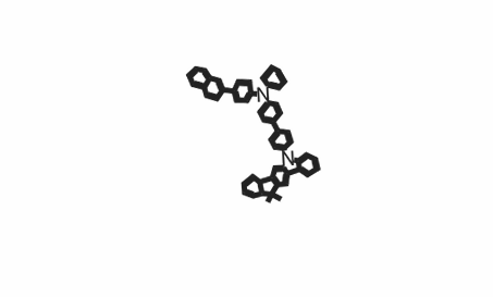 CC1(C)c2cc3c4ccccc4n(-c4ccc(-c5ccc(N(c6ccccc6)c6ccc(-c7ccc8ccccc8c7)cc6)cc5)cc4)c3cc2C2C=CC=CC21